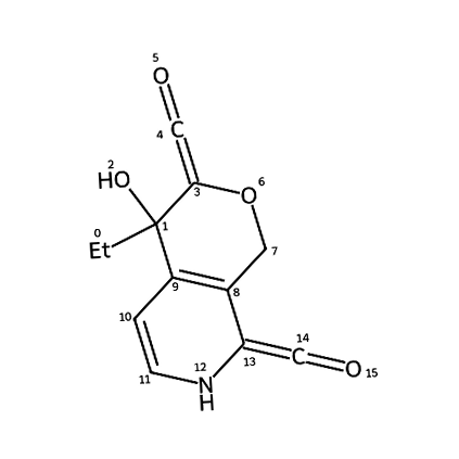 CCC1(O)C(=C=O)OCC2=C1C=CNC2=C=O